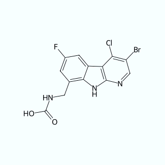 O=C(O)NCc1cc(F)cc2c1[nH]c1ncc(Br)c(Cl)c12